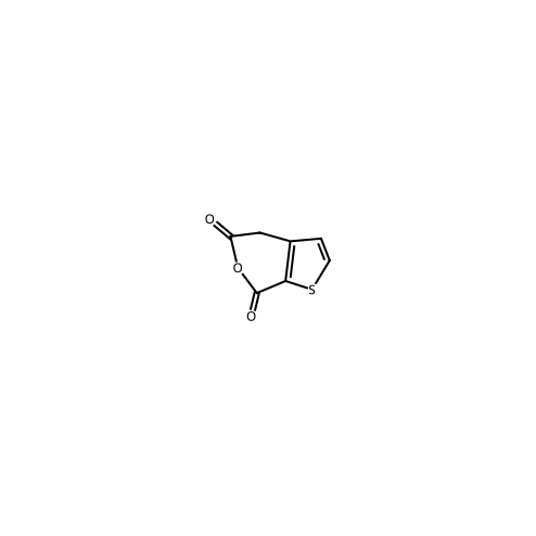 O=C1Cc2ccsc2C(=O)O1